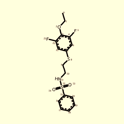 CCOc1c(F)cc(SCCNS(=O)(=O)c2ccccc2)cc1F